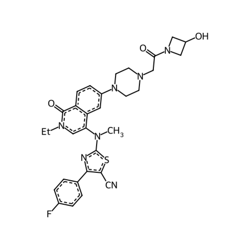 CCn1cc(N(C)c2nc(-c3ccc(F)cc3)c(C#N)s2)c2cc(N3CCN(CC(=O)N4CC(O)C4)CC3)ccc2c1=O